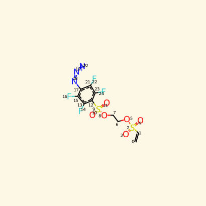 C=CS(=O)(=O)OCCOS(=O)(=O)c1c(F)c(F)c(N=[N+]=[N-])c(F)c1F